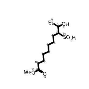 CCC(O)C(CCCCCCCC(=O)OC)S(=O)(=O)O